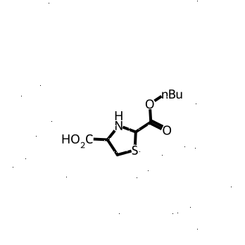 CCCCOC(=O)C1NC(C(=O)O)CS1